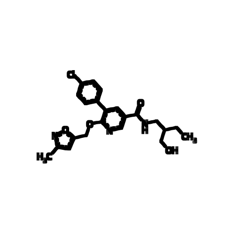 CCC(CO)CNC(=O)c1cnc(OCc2cc(C)no2)c(-c2ccc(Cl)cc2)c1